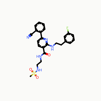 CS(=O)(=O)NCCNC(=O)c1ccc(-c2ccccc2C#N)nc1NCCc1cccc(F)c1